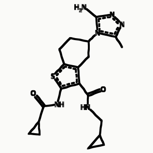 Cc1nnc(N)n1C1CCc2sc(NC(=O)C3CC3)c(C(=O)NCC3CC3)c2C1